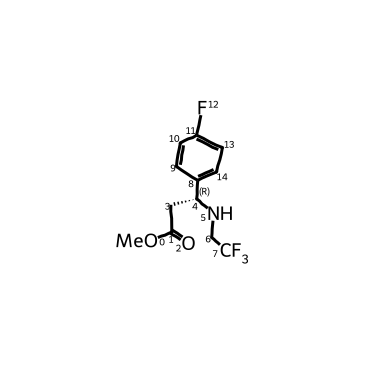 COC(=O)C[C@@H](NCC(F)(F)F)c1ccc(F)cc1